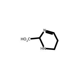 O=C(O)C1N=CCCN1